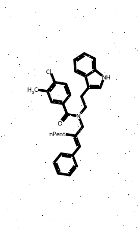 CCCCC/C(=C\c1ccccc1)CN(CCc1c[nH]c2ccccc12)C(=O)c1ccc(Cl)c(C)c1